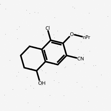 CCCOc1c(C#N)cc2c(c1Cl)CCCC2O